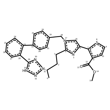 CCCCc1nc(-c2sccc2C(=O)OC)cn1Cc1ccc(-c2ccccc2-c2nnn[nH]2)cc1